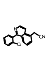 N#CCc1cccc2c(-c3ccccc3Cl)nccc12